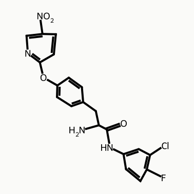 NC(Cc1ccc(Oc2ccc([N+](=O)[O-])cn2)cc1)C(=O)Nc1ccc(F)c(Cl)c1